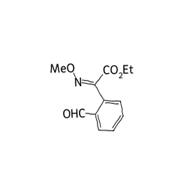 CCOC(=O)C(=NOC)c1ccccc1C=O